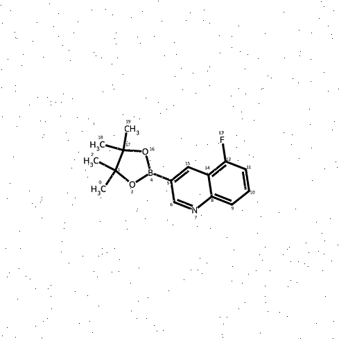 CC1(C)OB(c2cnc3cccc(F)c3c2)OC1(C)C